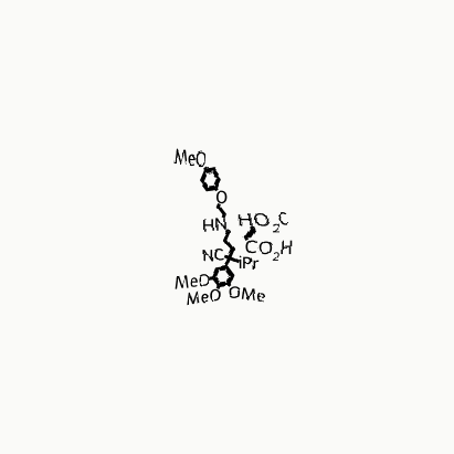 COc1ccc(OCCNCCCC(C#N)(c2cc(OC)c(OC)c(OC)c2)C(C)C)cc1.O=C(O)C=CC(=O)O